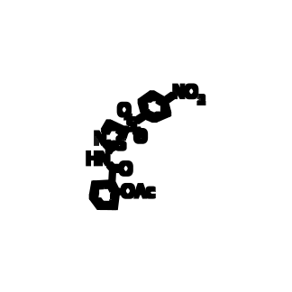 CC(=O)Oc1ccccc1C(=O)Nc1ncc(S(=O)(=O)c2ccc([N+](=O)[O-])cc2)s1